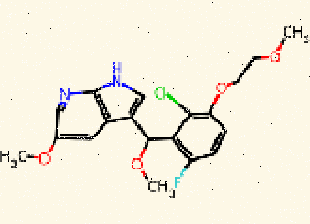 COCCOc1ccc(F)c(C(OC)c2c[nH]c3ncc(OC)cc23)c1Cl